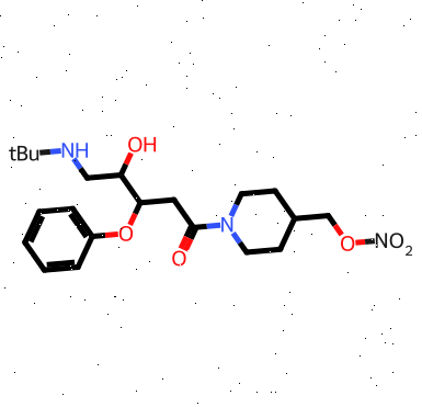 CC(C)(C)NCC(O)C(CC(=O)N1CCC(CO[N+](=O)[O-])CC1)Oc1ccccc1